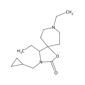 [CH2]CN1CCC2(CC1)OC(=O)N(CC1CC1)C2CC